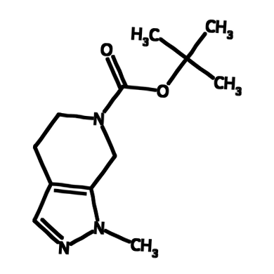 Cn1ncc2c1CN(C(=O)OC(C)(C)C)CC2